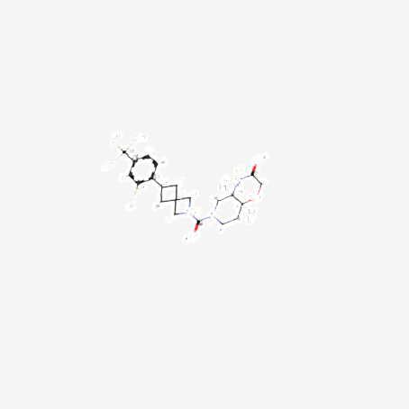 O=C1CO[C@H]2CCN(C(=O)N3CC4(CC(c5ccc(C(F)(F)F)cc5F)C4)C3)C[C@H]2N1